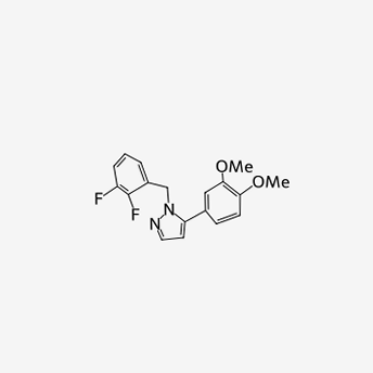 COc1ccc(-c2ccnn2Cc2cccc(F)c2F)cc1OC